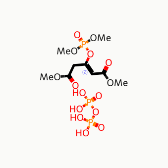 COC(=O)/C=C(/CC(=O)OC)OP(=O)(OC)OC.O=P(O)(O)OP(=O)(O)O